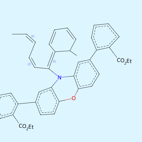 C\C=C/C=C\C(=C1/C=CC=CC1C)N1c2cc(-c3ccccc3C(=O)OCC)ccc2Oc2ccc(-c3ccccc3C(=O)OCC)cc21